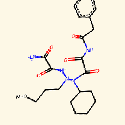 COCCCN(NC(=O)C(N)=O)N(C(=O)C(=O)NC(=O)Cc1ccccc1)C1CCCCC1